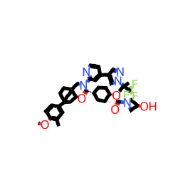 COc1ccc(C23CCC(CN(c4cc(-c5cnn(C(C)(C)C(F)(F)F)c5)ccn4)C(=O)[C@H]4CC[C@H](OC(=O)N5CC(O)C5)CC4)(CC2)CC3)cc1C